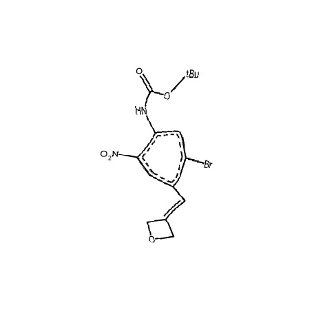 CC(C)(C)OC(=O)Nc1cc(Br)c(C=C2COC2)cc1[N+](=O)[O-]